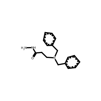 NNC(=O)CCN(Cc1ccccc1)Cc1ccccc1